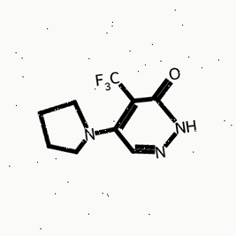 O=c1[nH]ncc(N2CCCC2)c1C(F)(F)F